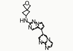 c1cn2cc(-c3ccn4nc(NC5CC6(COC6)C5)ncc34)cnc2n1